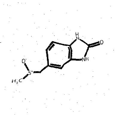 C[S+]([O-])Cc1ccc2[nH]c(=O)[nH]c2c1